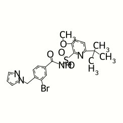 COc1ccc(C(C)(C)C)nc1S(=O)(=O)NC(=O)c1ccc(Cn2cccn2)c(Br)c1